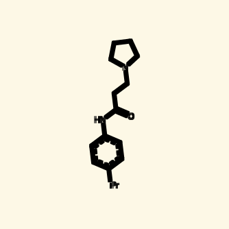 CC(C)c1ccc(NC(=O)CCN2CCCC2)cc1